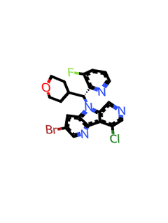 Fc1cccnc1[C@@H](C1CCOCC1)n1c2cc(Br)cnc2c2c(Cl)cncc21